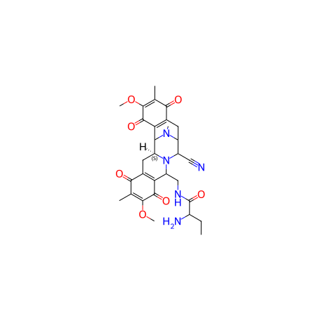 CCC(N)C(=O)NCC1C2=C(C[C@H]3C4C5=C(CC(C(C#N)N13)N4C)C(=O)C(C)=C(OC)C5=O)C(=O)C(C)=C(OC)C2=O